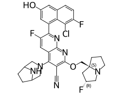 N#Cc1c(OC[C@@]23CCCN2C[C@H](F)C3)nc2nc(-c3cc(O)cc4ccc(F)c(Cl)c34)c(F)cc2c1N1CC2CCC(C1)N2